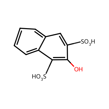 O=S(=O)(O)c1cc2ccccc2c(S(=O)(=O)O)c1O